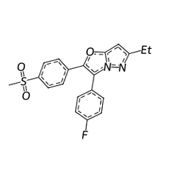 CCc1cc2oc(-c3ccc(S(C)(=O)=O)cc3)c(-c3ccc(F)cc3)n2n1